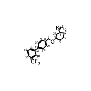 NC1CCCC(OCc2ccc(-c3cccc(C(F)(F)F)c3)cc2)C1